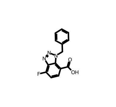 O=C(O)c1ccc(F)c2nnn(Cc3ccccc3)c12